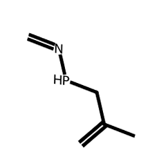 C=NPCC(=C)C